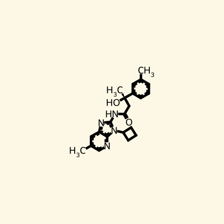 Cc1cccc([C@@](C)(O)CC(=O)Nc2nc3cc(C)cnc3n2C2CCC2)c1